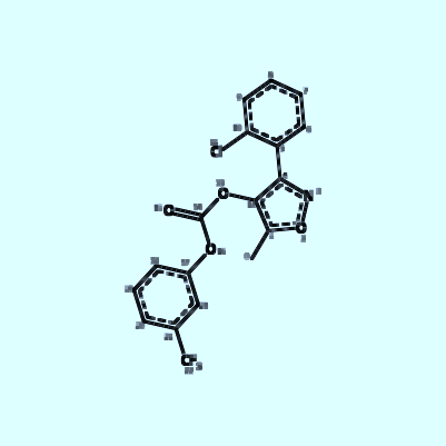 Cc1onc(-c2ccccc2Cl)c1OC(=O)Oc1cccc(C(F)(F)F)c1